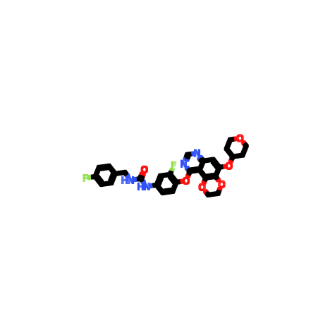 O=C(NCc1ccc(F)cc1)Nc1ccc(Oc2ncnc3cc(OC4CCOCC4)c4c(c23)OCCO4)c(F)c1